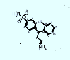 NCCC(c1ccc(S(N)(=O)=O)cc1)c1ccccc1I